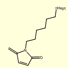 C=C1C=CC(=O)N1CCCCCCCCCCCCC